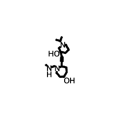 CNCN1CCC(O)CCC1C#CC1(O)CCCN(C(C)C)C1